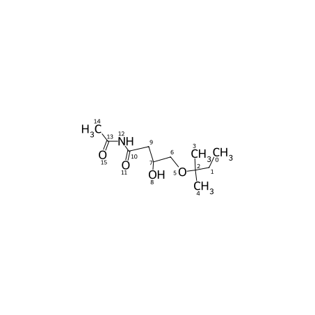 CCC(C)(C)OCC(O)CC(=O)NC(C)=O